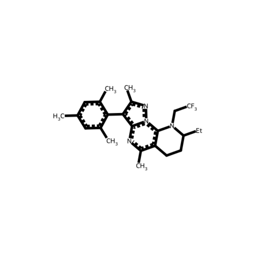 CCC1CCc2c(C)nc3c(-c4c(C)cc(C)cc4C)c(C)nn3c2N1CC(F)(F)F